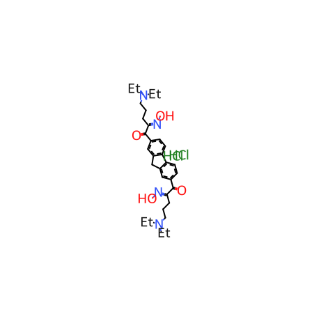 CCN(CC)CCCC(=NO)C(=O)c1ccc2c(c1)Cc1cc(C(=O)C(CCCN(CC)CC)=NO)ccc1-2.Cl.Cl